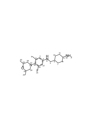 Cc1cc(NCC2CCC(N)CC2)cc(F)c1N1CC(C)OC(C)C1